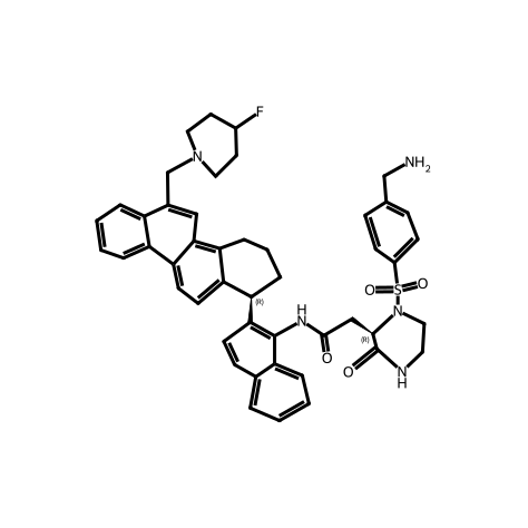 NCc1ccc(S(=O)(=O)N2CCNC(=O)[C@H]2CC(=O)Nc2c([C@@H]3CCCc4c3ccc3c4cc(CN4CCC(F)CC4)c4ccccc43)ccc3ccccc23)cc1